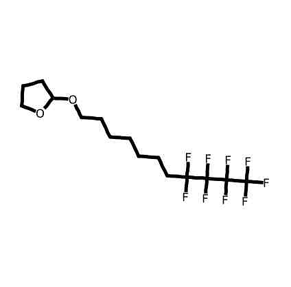 FC(F)(F)C(F)(F)C(F)(F)C(F)(F)CCCCCCCOC1CCCO1